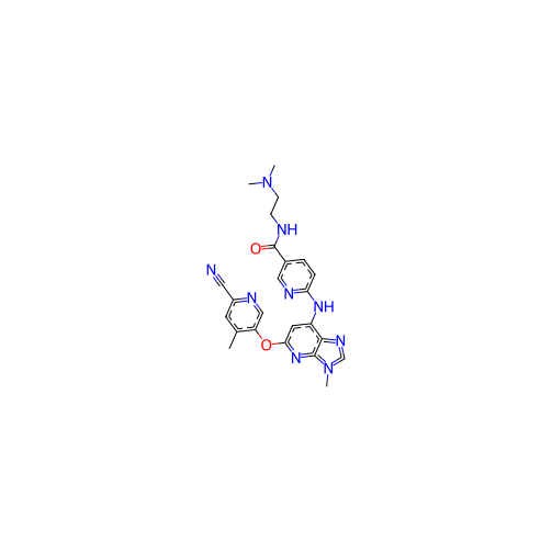 Cc1cc(C#N)ncc1Oc1cc(Nc2ccc(C(=O)NCCN(C)C)cn2)c2ncn(C)c2n1